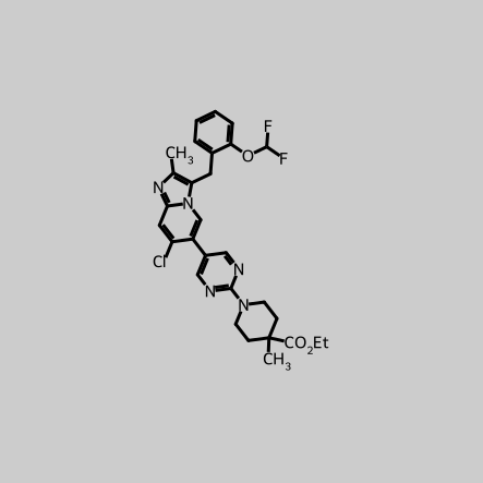 CCOC(=O)C1(C)CCN(c2ncc(-c3cn4c(Cc5ccccc5OC(F)F)c(C)nc4cc3Cl)cn2)CC1